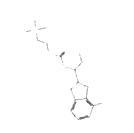 CS(C)(C)CCOC(=O)NC(CO)C1Cc2cccc(Cl)c2C1